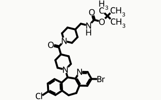 CC(C)(C)OC(=O)NCC1CCN(C(=O)C2CCN(C3c4ccc(Cl)cc4CCc4cc(Br)cnc43)CC2)CC1